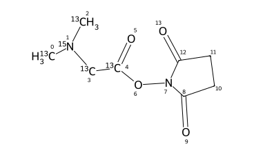 [13CH3][15N]([13CH3])[13CH2][13C](=O)ON1C(=O)CCC1=O